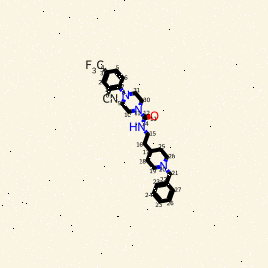 N#Cc1cc(C(F)(F)F)ccc1N1CCN(C(=O)NCCC2CCN(Cc3ccccc3)CC2)CC1